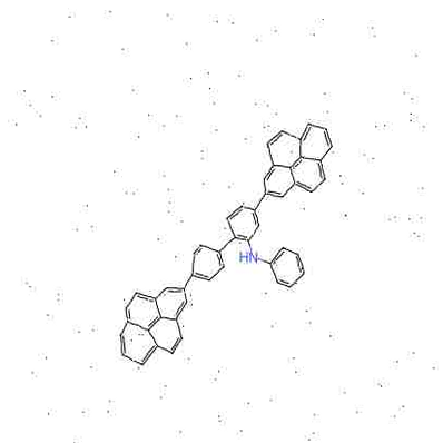 c1ccc(Nc2cc(-c3cc4ccc5cccc6ccc(c3)c4c56)ccc2-c2ccc(-c3cc4ccc5cccc6ccc(c3)c4c56)cc2)cc1